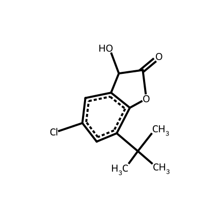 CC(C)(C)c1cc(Cl)cc2c1OC(=O)C2O